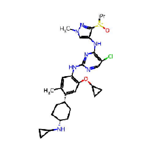 Cc1cc(Nc2ncc(Cl)c(Nc3cn(C)nc3[S+]([O-])C(C)C)n2)c(OC2CC2)cc1[C@H]1CC[C@@H](NC2CC2)CC1